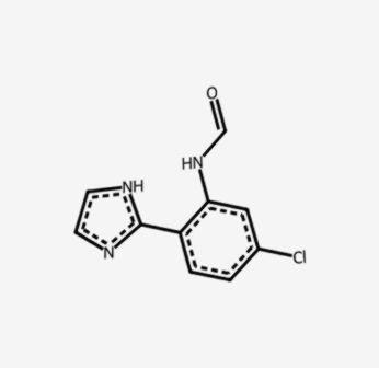 O=CNc1cc(Cl)ccc1-c1ncc[nH]1